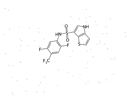 O=S(=O)(Nc1cc(F)c(C(F)(F)F)cc1F)c1c[nH]c2ccsc12